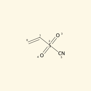 C=CS(=O)(=O)C#N